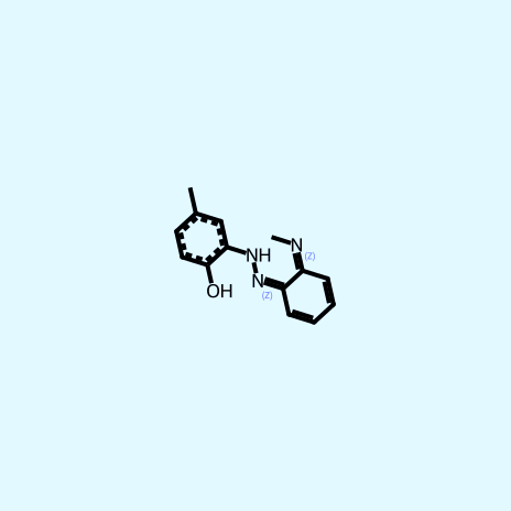 C/N=C1/C=CC=C/C1=N/Nc1cc(C)ccc1O